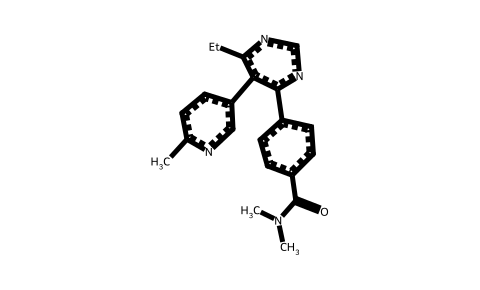 CCc1ncnc(-c2ccc(C(=O)N(C)C)cc2)c1-c1ccc(C)nc1